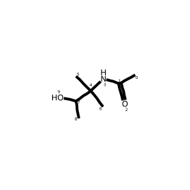 CC(=O)NC(C)(C)C(C)O